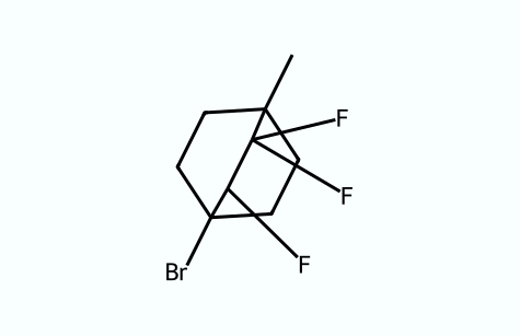 CC12CCC(Br)(CC1)C(F)C2(F)F